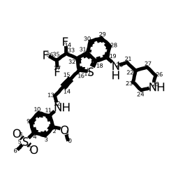 COc1cc(S(C)(=O)=O)ccc1NCC#Cc1sc2c(NCC3CCNCC3)cccc2c1C(F)C(F)F